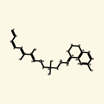 C=C\C=C/C=C(C)/C(C)=N/OCC(C)(C)CO/N=C1\CCCc2ccc(C)nc21